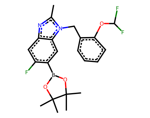 Cc1nc2cc(F)c(B3OC(C)(C)C(C)(C)O3)cc2n1Cc1ccccc1OC(F)F